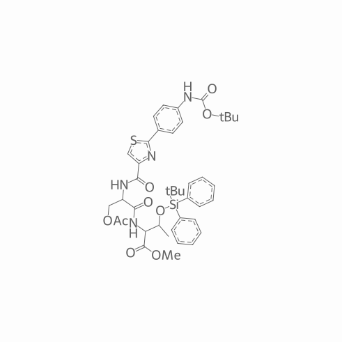 COC(=O)C(NC(=O)C(COC(C)=O)NC(=O)c1csc(-c2ccc(NC(=O)OC(C)(C)C)cc2)n1)C(C)O[Si](c1ccccc1)(c1ccccc1)C(C)(C)C